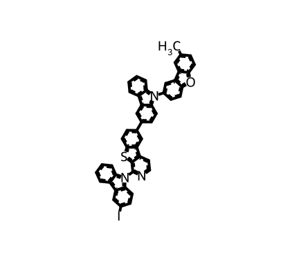 Cc1ccc2oc3ccc(-n4c5ccccc5c5cc(-c6ccc7sc8c(-n9c%10ccccc%10c%10cc(I)ccc%109)nccc8c7c6)ccc54)cc3c2c1